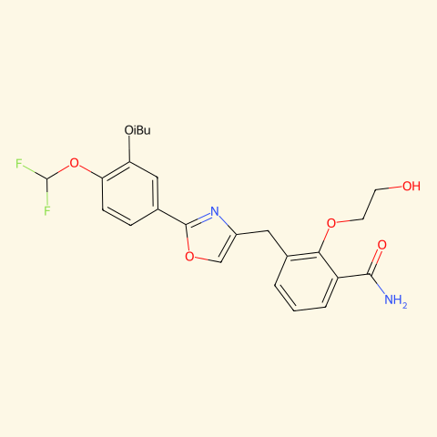 CC(C)COc1cc(-c2nc(Cc3cccc(C(N)=O)c3OCCO)co2)ccc1OC(F)F